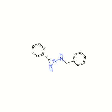 c1ccc(CNN2NC2c2ccccc2)cc1